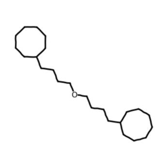 C1CCCC(CCCCOCCCCC2CCCCCCC2)CCC1